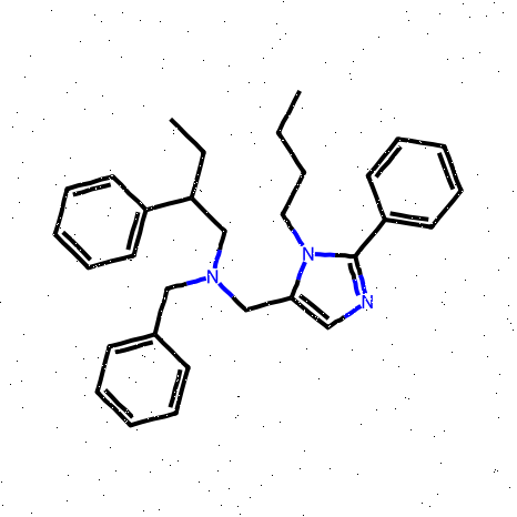 CCCCn1c(CN(Cc2ccccc2)CC(CC)c2ccccc2)cnc1-c1ccccc1